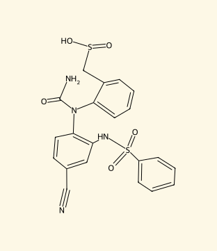 N#Cc1ccc(N(C(N)=O)c2ccccc2CS(=O)O)c(NS(=O)(=O)c2ccccc2)c1